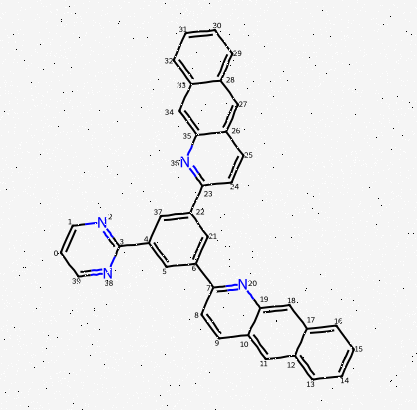 c1cnc(-c2cc(-c3ccc4cc5ccccc5cc4n3)cc(-c3ccc4cc5ccccc5cc4n3)c2)nc1